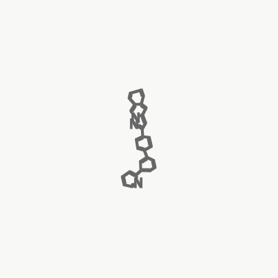 c1ccc(-c2cccc(-c3ccc(-c4cc5cc6ccccc6cn5n4)cc3)c2)nc1